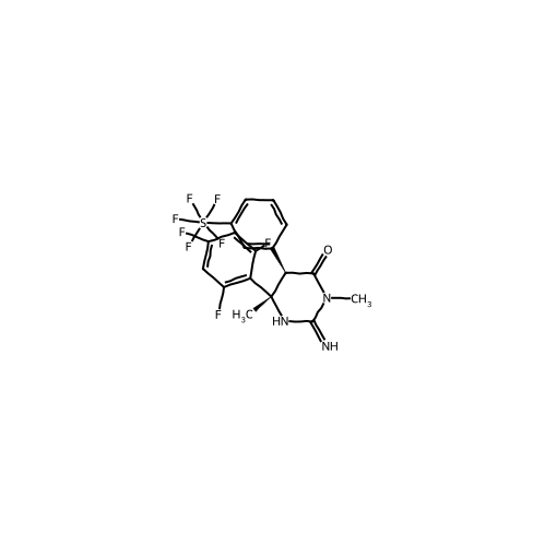 CN1C(=N)N[C@](C)(c2c(F)cc(F)cc2F)[C@@H](c2cccc(S(F)(F)(F)(F)F)c2)C1=O